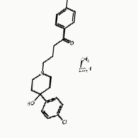 CC(=O)O.O=C(CCCN1CCC(O)(c2ccc(Cl)cc2)CC1)c1ccc(F)cc1